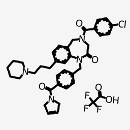 O=C(O)C(F)(F)F.O=C(c1ccc(CN2C(=O)CN(C(=O)c3ccc(Cl)cc3)Cc3ccc(CCCN4CCCCC4)cc32)cc1)N1CC=CC1